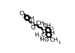 C/C(=C\C=C\[C@@H]1[C@@H]2[C@H](C)[C@@H](O)[C@H](C)C[C@@H]2C=C[C@H]1C)C(=O)NCc1ccc(Cl)cc1